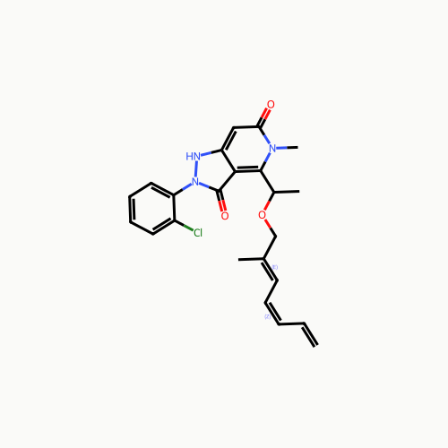 C=C/C=C\C=C(/C)COC(C)c1c2c(=O)n(-c3ccccc3Cl)[nH]c2cc(=O)n1C